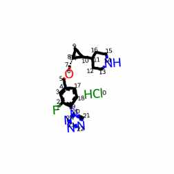 Cl.Fc1cc(COC[C@@H]2CC2C2CCNCC2)ccc1-n1cnnn1